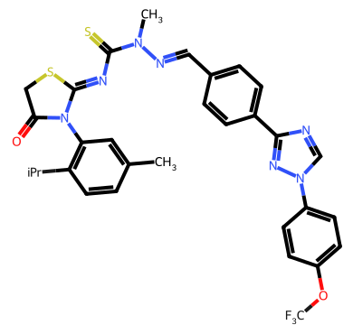 Cc1ccc(C(C)C)c(N2C(=O)CS/C2=N\C(=S)N(C)/N=C/c2ccc(-c3ncn(-c4ccc(OC(F)(F)F)cc4)n3)cc2)c1